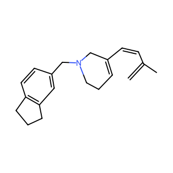 C=C(C)/C=C\C1=CCCN(Cc2ccc3c(c2)CCC3)C1